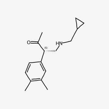 CC(=O)[C@H](CNCC1CC1)c1ccc(C)c(C)c1